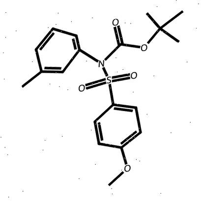 COc1ccc(S(=O)(=O)N(C(=O)OC(C)(C)C)c2cccc(C)c2)cc1